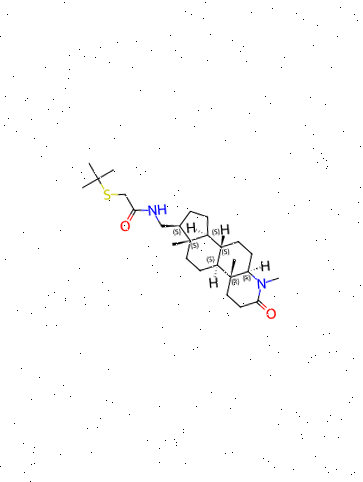 CN1C(=O)CC[C@]2(C)[C@H]3CC[C@]4(C)[C@@H](CNC(=O)CSC(C)(C)C)CC[C@H]4[C@@H]3CC[C@@H]12